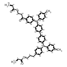 C=CC(=O)OCCCc1ccc(N(c2ccc(C)cc2)c2ccc(-c3ccc(N(c4ccc(C)cc4)c4ccc(C(=O)CCOC(=O)C=C)cc4)cc3)cc2)cc1